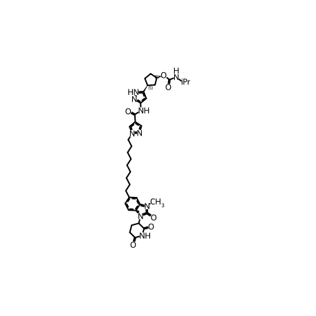 CC(C)NC(=O)O[C@@H]1CC[C@H](c2cc(NC(=O)c3cnn(CCCCCCCCCc4ccc5c(c4)n(C)c(=O)n5C4CCC(=O)NC4=O)c3)n[nH]2)C1